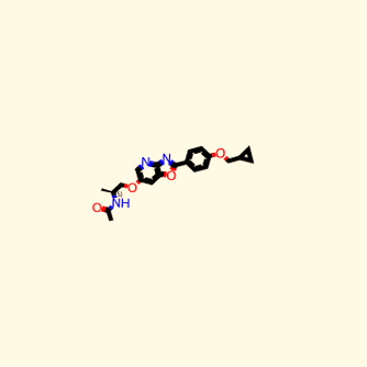 CC(=O)N[C@@H](C)COc1cnc2nc(-c3ccc(OCC4CC4)cc3)oc2c1